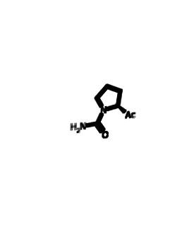 CC(=O)[C@@H]1CCCN1C(N)=O